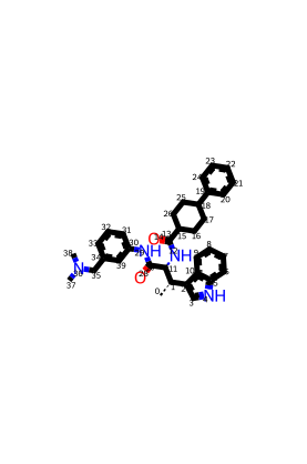 C[C@@H](c1c[nH]c2ccccc12)[C@@H](NC(=O)C1CCC(c2ccccc2)CC1)C(=O)Nc1cccc(CN(C)C)c1